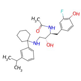 CC(=O)N[C@@H](Cc1ccc(O)c(F)c1)[C@H](O)CNC1(c2cccc(C(C)C)c2)CCCCC1